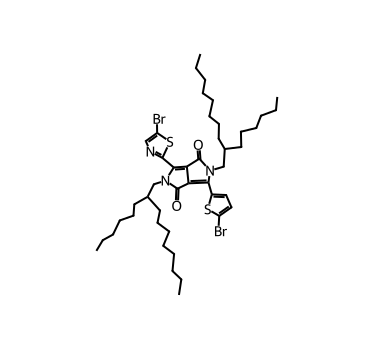 CCCCCCCCC(CCCCCC)CN1C(=O)C2=C(c3ncc(Br)s3)N(CC(CCCCCC)CCCCCCCC)C(=O)C2=C1c1ccc(Br)s1